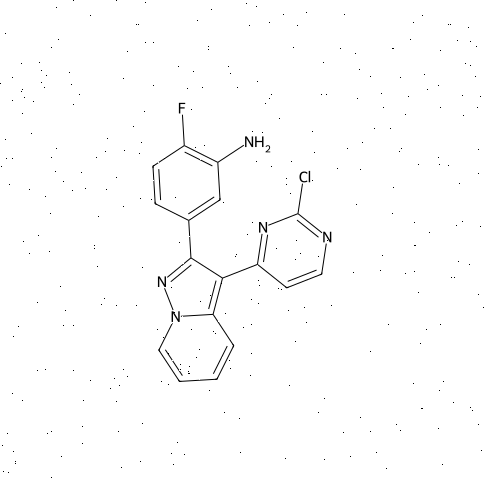 Nc1cc(-c2nn3ccccc3c2-c2ccnc(Cl)n2)ccc1F